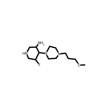 COCCCN1CCN(C2C(N)CNCC2F)CC1